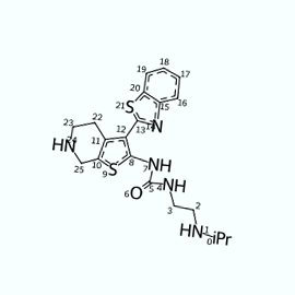 CC(C)NCCNC(=O)Nc1sc2c(c1-c1nc3ccccc3s1)CCNC2